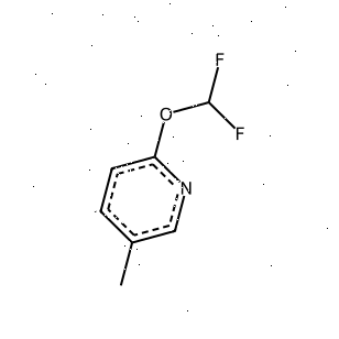 Cc1[c]cc(OC(F)F)nc1